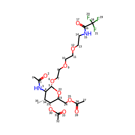 CC(=O)NC1[C@H](OCCOCCOCCNC(=O)C(F)(F)F)OC(COC(C)=O)[C@H](OC(C)=O)[C@@H]1C